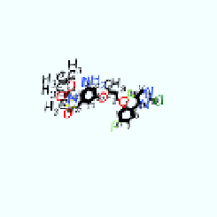 CC(CCOc1cc(F)ccc1-c1nc(Cl)ncc1F)Oc1cc(N)cc(CS(C)(=O)=NC(=O)OC(C)(C)C)c1